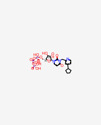 O=c1ccn([C@@H]2O[C@H](COP(=O)(O)OP(=O)(O)OP(=O)(O)O)C(O)[C@@H]2O)c(=O)n1Cc1cc(C2CCCC2)ccn1